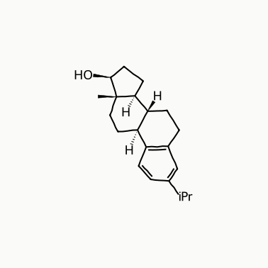 CC(C)c1ccc2c(c1)CC[C@@H]1[C@@H]2CC[C@]2(C)[C@@H](O)CC[C@@H]12